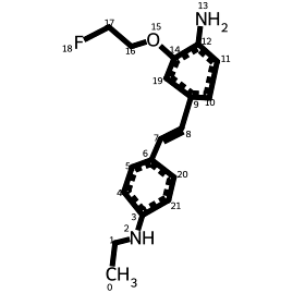 CCNc1ccc(C=Cc2ccc(N)c(OCCF)c2)cc1